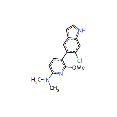 COc1nc(N(C)C)ccc1-c1cc2cc[nH]c2cc1Cl